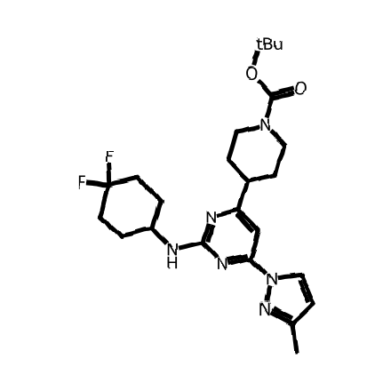 Cc1ccn(-c2cc(C3CCN(C(=O)OC(C)(C)C)CC3)nc(NC3CCC(F)(F)CC3)n2)n1